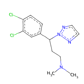 CN(C)CCC(c1ccc(Cl)c(Cl)c1)n1nccn1